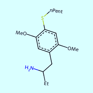 CCCCCSc1cc(OC)c(CC(N)CC)cc1OC